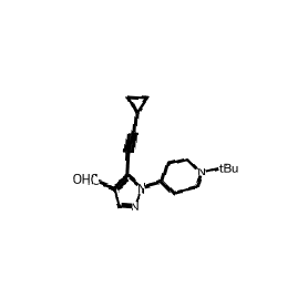 CC(C)(C)N1CCC(n2ncc(C=O)c2C#CC2CC2)CC1